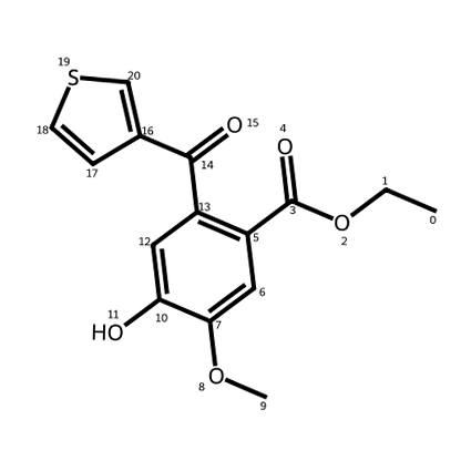 CCOC(=O)c1cc(OC)c(O)cc1C(=O)c1ccsc1